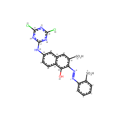 O=S(=O)(O)c1ccccc1N=Nc1c(S(=O)(=O)O)cc2cc(Nc3nc(Cl)nc(Cl)n3)ccc2c1O